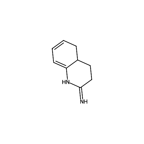 N=C1CCC2CC=CC=C2N1